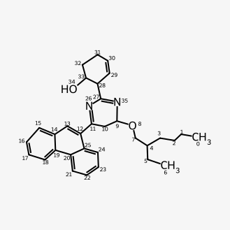 CCCCC(CC)COC1CC(c2cc3ccccc3c3ccccc23)=NC(C2C=CCCC2O)=N1